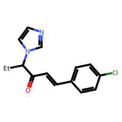 CCC(C(=O)C=Cc1ccc(Cl)cc1)n1ccnc1